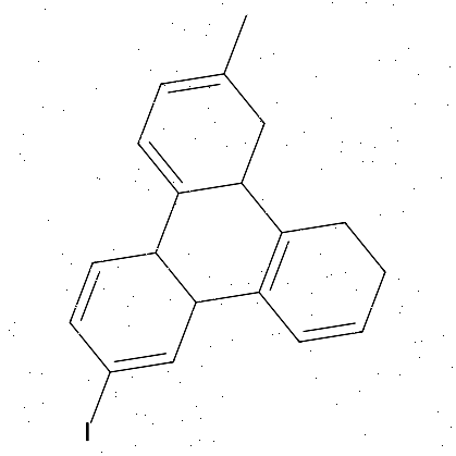 CC1=CC=C2C(C1)C1=C(C=CCC1)C1C=C(I)C=CC21